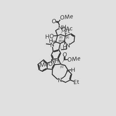 CCC1=C[C@@H]2CN(CCc3c([nH]c4ccccc34)[C@@](C(=O)OC)(c3cc4c(cc3OC)N(C)[C@H]3C(O)(CNC(=O)OC)[C@H](OC(C)=O)[C@]5(CC)C=CCN6CC[C@]43[C@@H]65)C2)C1